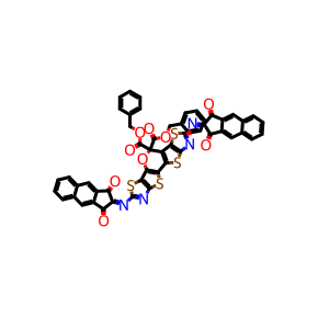 O=C(OCc1ccccc1)C1(C(=O)OCc2ccccc2)Oc2c(sc3nc(N=c4c(=O)c5cc6ccccc6cc5c4=O)sc23)-c2sc3nc(N=c4c(=O)c5cc6ccccc6cc5c4=O)sc3c21